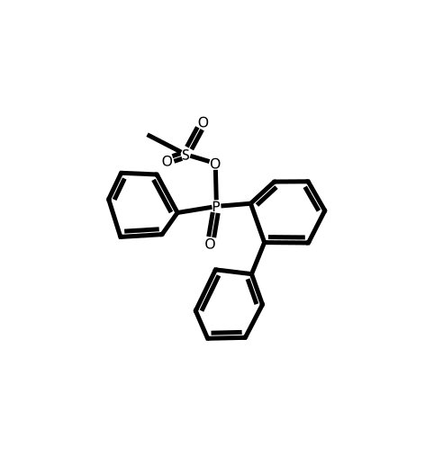 CS(=O)(=O)OP(=O)(c1ccccc1)c1ccccc1-c1ccccc1